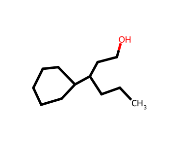 CCCC(CCO)C1CCCCC1